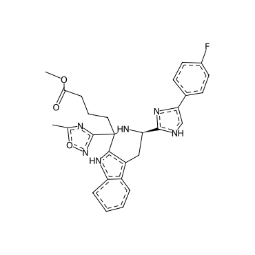 COC(=O)CCCC1(c2noc(C)n2)N[C@@H](c2nc(-c3ccc(F)cc3)c[nH]2)Cc2c1[nH]c1ccccc21